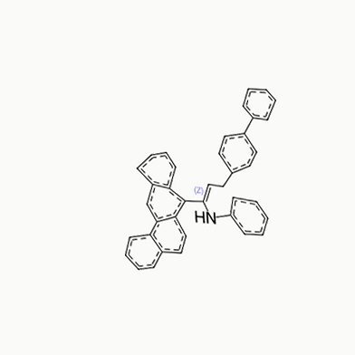 C(/Cc1ccc(-c2ccccc2)cc1)=C(/Nc1ccccc1)c1c2ccccc2cc2c1ccc1ccccc12